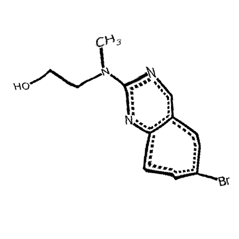 CN(CCO)c1ncc2cc(Br)ccc2n1